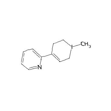 CI1CC=C(c2ccccn2)CC1